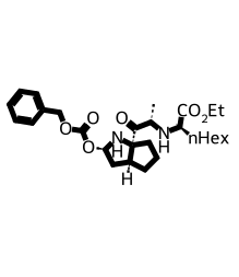 CCCCCC[C@@H](N[C@@H](C)C(=O)[C@]12CCC[C@H]1C[C@H](OC(=O)OCc1ccccc1)N2)C(=O)OCC